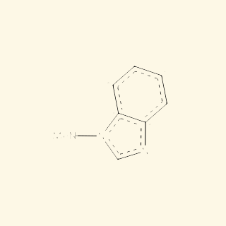 CNn1cnc2ccccc21